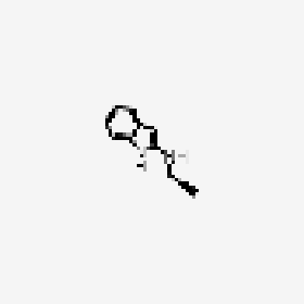 C#CCNc1cc2ccccc2[nH]1